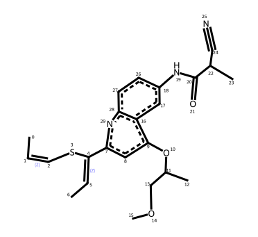 C/C=C\S/C(=C\C)c1cc(OC(C)COC)c2cc(NC(=O)C(C)C#N)ccc2n1